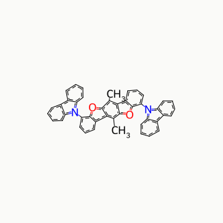 Cc1c2oc3c(-n4c5ccccc5c5ccccc54)cccc3c2c(C)c2oc3c(-n4c5ccccc5c5ccccc54)cccc3c12